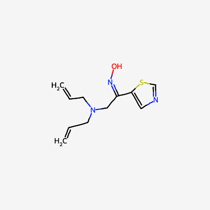 C=CCN(CC=C)C/C(=N/O)c1cncs1